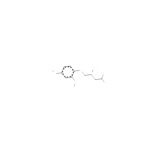 COc1ccc(NC[C@@H](N)CC(C)C)c(OC)c1